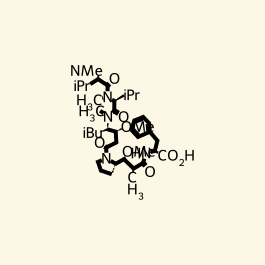 CC[C@H](C)[C@@H]([C@@H](CC(=O)N1CCC[C@H]1[C@H](OC)[C@@H](C)C(=O)N[C@@H](Cc1ccccc1)C(=O)O)OC)N(C)C(=O)[C@H](C(C)C)N(C)C(=O)[C@@H](NC)C(C)C